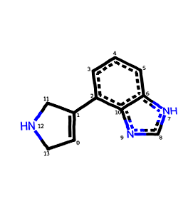 C1=C(c2cccc3[nH]cnc23)CNC1